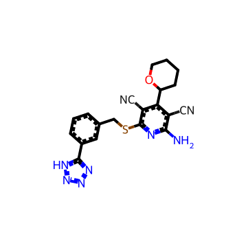 N#Cc1c(N)nc(SCc2cccc(-c3nnn[nH]3)c2)c(C#N)c1C1CCCCO1